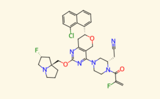 C=C(F)C(=O)N1CCN(c2nc(OC[C@@]34CCCN3C[C@H](F)C4)nc3c2CO[C@@H](c2cccc4cccc(Cl)c24)C3)C[C@@H]1CC#N